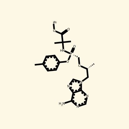 Cc1ccc(O[P@@](=O)(CO[C@H](C)Cn2cnc3c(N)ncnc32)NC(C)(C)C(=O)OC(C)C)cc1